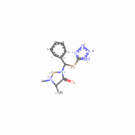 CCCC1C(=O)N(C(Sc2nnn[nH]2)c2ccccc2)SN1C